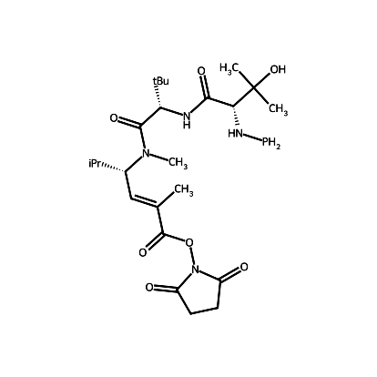 C/C(=C\[C@H](C(C)C)N(C)C(=O)[C@@H](NC(=O)[C@@H](NP)C(C)(C)O)C(C)(C)C)C(=O)ON1C(=O)CCC1=O